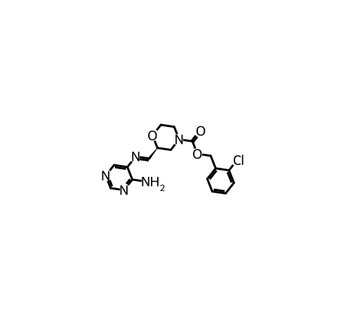 Nc1ncncc1/N=C/[C@@H]1CN(C(=O)OCc2ccccc2Cl)CCO1